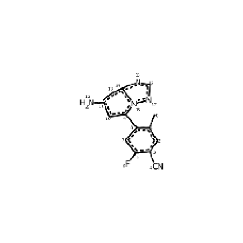 Cc1cc(C#N)c(F)cc1-c1cc(N)cc2ncnn12